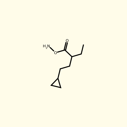 CCC(CCC1CC1)C(=O)ON